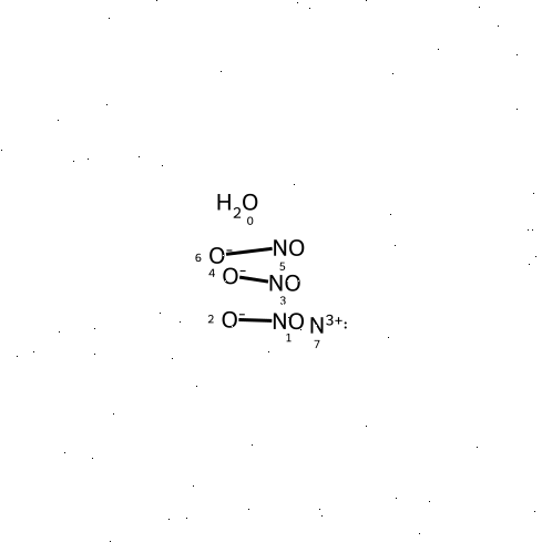 O.O=N[O-].O=N[O-].O=N[O-].[N+3]